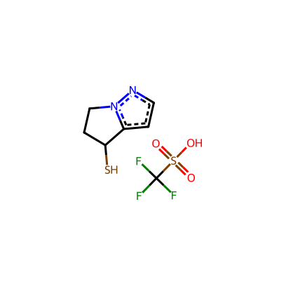 O=S(=O)(O)C(F)(F)F.SC1CCn2nccc21